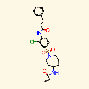 C=CC(=O)NC1CCCN(S(=O)(=O)c2ccc(NC(=O)CCc3ccccc3)c(Cl)c2)CC1